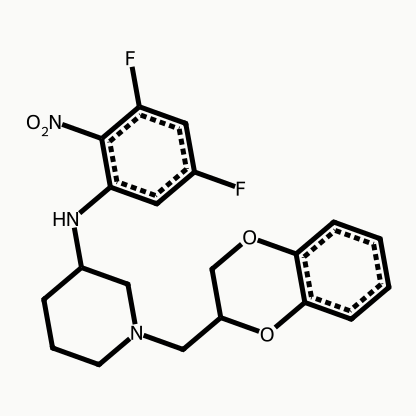 O=[N+]([O-])c1c(F)cc(F)cc1NC1CCCN(CC2COc3ccccc3O2)C1